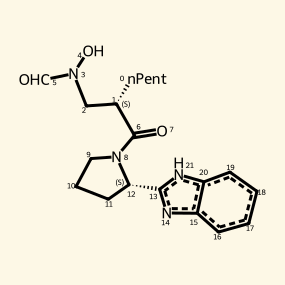 CCCCC[C@@H](CN(O)C=O)C(=O)N1CCC[C@H]1c1nc2ccccc2[nH]1